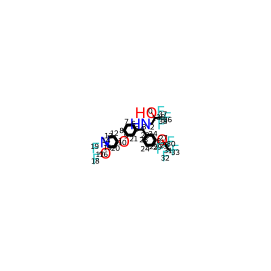 O[C@H](CNC(c1cccc(Oc2ccnc(OC(F)F)c2)c1)c1cccc(OC(F)(F)C(F)F)c1)C(F)(F)F